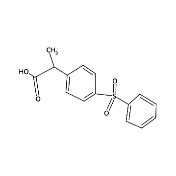 CC(C(=O)O)c1ccc(S(=O)(=O)c2ccccc2)cc1